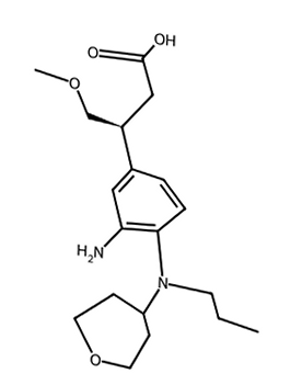 CCCN(c1ccc([C@@H](COC)CC(=O)O)cc1N)C1CCOCC1